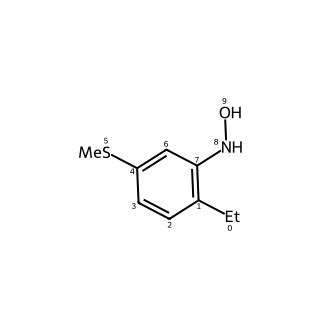 CCc1ccc(SC)cc1NO